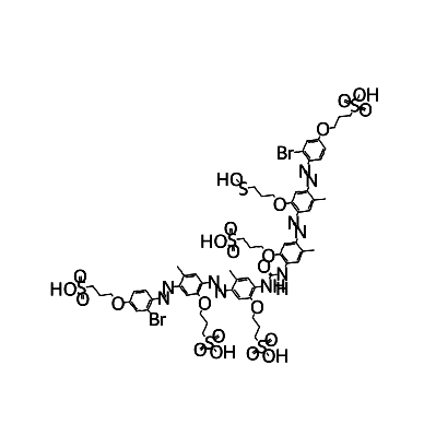 Cc1cc(N=Nc2cc(OCCCS(=O)(=O)O)c(NC(=O)Nc3cc(C)c(N=Nc4cc(C)c(/N=N/c5ccc(OCCCS(=O)(=O)O)cc5Br)cc4OCCCSO)cc3OCCCS(=O)(=O)O)cc2C)c(OCCCS(=O)(=O)O)cc1N=Nc1ccc(OCCCS(=O)(=O)O)cc1Br